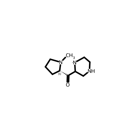 CN1CCC[C@H]1C(=O)C1CNCC[N]1